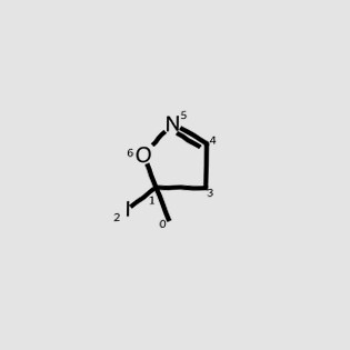 CC1(I)CC=NO1